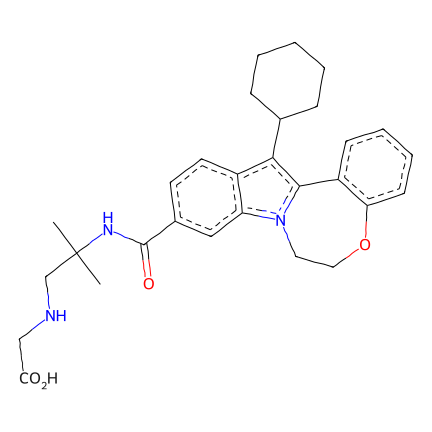 CC(C)(CNCC(=O)O)NC(=O)c1ccc2c(C3CCCCC3)c3n(c2c1)CCOc1ccccc1-3